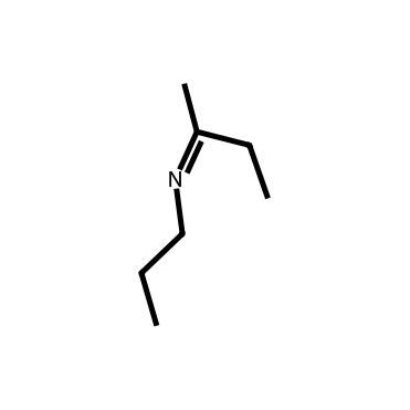 CCC/N=C(/C)CC